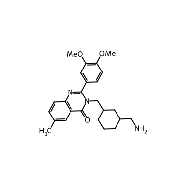 COc1ccc(-c2nc3ccc(C)cc3c(=O)n2CC2CCCC(CN)C2)cc1OC